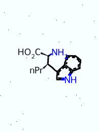 CCC[C@H](c1c[nH]c2ccccc12)[C@H](N)C(=O)O